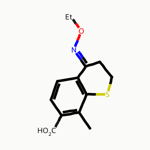 CCON=C1CCSc2c1ccc(C(=O)O)c2C